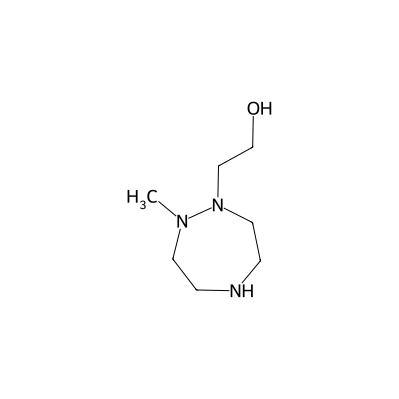 CN1CCNCCN1CCO